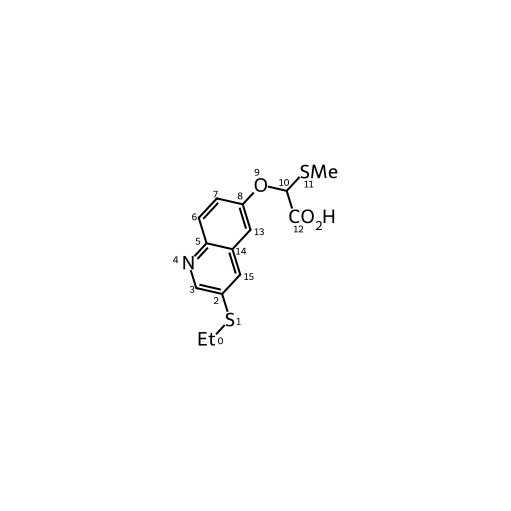 CCSc1cnc2ccc(OC(SC)C(=O)O)cc2c1